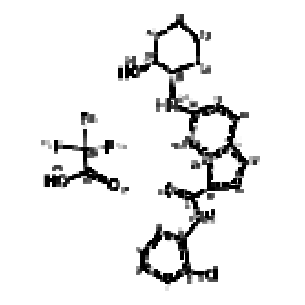 O=C(Nc1ccccc1Cl)c1ccc2ccc(N[C@@H]3CCCC[C@@H]3O)nn12.O=C(O)C(F)(F)F